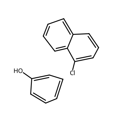 Clc1cccc2ccccc12.Oc1ccccc1